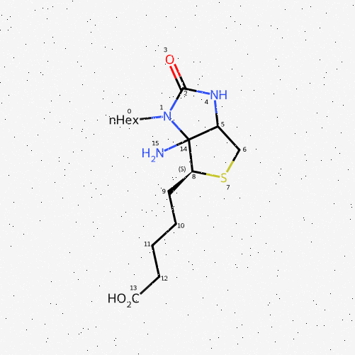 CCCCCCN1C(=O)NC2CS[C@@H](CCCCC(=O)O)C21N